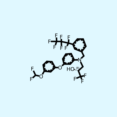 O[C@H](CN(Cc1cccc(C(F)(F)C(F)(F)C(F)(F)F)c1)c1cccc(Oc2cccc(OC(F)F)c2)c1)C(F)(F)F